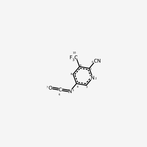 N#Cc1ncc(N=C=O)cc1C(F)(F)F